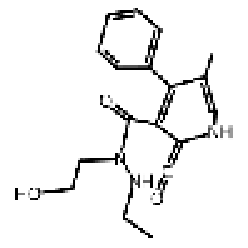 CCNN(CCO)C(=O)C1=C(c2ccccc2)C(C)=CNC1=C=O